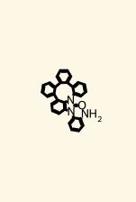 Nc1ccccc1-n1c(=O)n2c3ccccc3c3ccccc3c3ccccc3c3cccc1c32